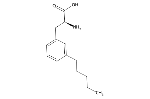 CCCCCc1cccc(C[C@H](N)C(=O)O)c1